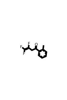 Cc1ccccc1C(=O)CC(F)=C(F)F